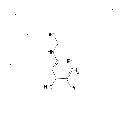 C=C(C(C)C)C(C)/C=C(/NCC(C)C)C(C)C